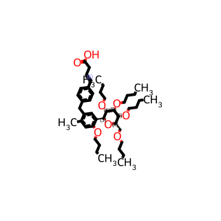 CCCCOC[C@H]1O[C@@H](c2cc(Cc3ccc(/C=C/CC(=O)O)cc3)c(C)cc2OCCCC)[C@H](OCCCC)[C@@H](OCCCC)[C@@H]1OCCCC